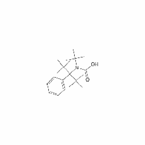 CC(C)(C)N(C(=O)O)C(c1ccccc1)(C(C)(C)C)C(C)(C)C